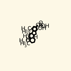 Cc1cc(OP(=O)(O)O)cc2c1[C@]1(C)CC[C@H]3C(C)(C)CCC[C@]3(C)[C@H]1C2